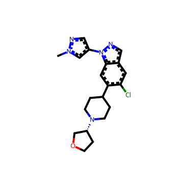 Cn1cc(-n2ncc3cc(Cl)c(C4CCN([C@@H]5CCOC5)CC4)cc32)cn1